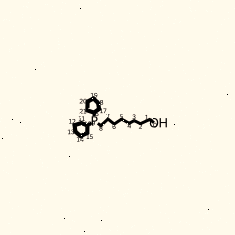 OCCCCCCCCP(c1ccccc1)c1ccccc1